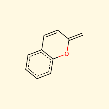 C=C1C=Cc2ccccc2O1